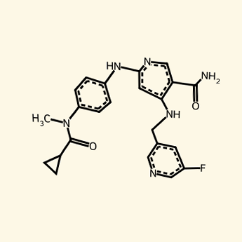 CN(C(=O)C1CC1)c1ccc(Nc2cc(NCc3cncc(F)c3)c(C(N)=O)cn2)cc1